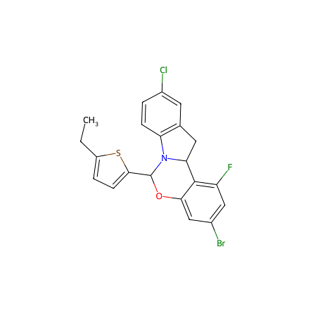 CCc1ccc(C2Oc3cc(Br)cc(F)c3C3Cc4cc(Cl)ccc4N32)s1